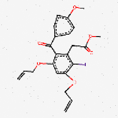 C=CCOc1cc(OCC=C)c(C(=O)c2ccc(OC)cc2)c(CC(=O)OC)c1I